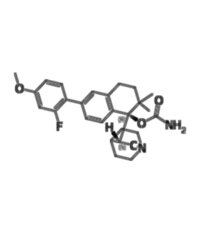 COc1ccc(-c2ccc3c(c2)CCC(C)(C)[C@]3(OC(N)=O)[C@@H]2CN3CCC2CC3)c(F)c1